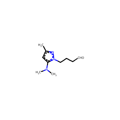 Cc1cc(N(C)C)n(CCCC=O)n1